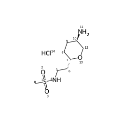 CS(=O)(=O)NCC[C@@H]1CC[C@@H](N)CO1.Cl